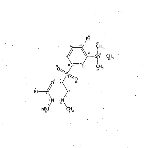 CCCCN(C(=O)CC)N(C)CCS(=O)(=O)c1ccc(CC)[c]([Sn]([CH3])([CH3])[CH3])c1